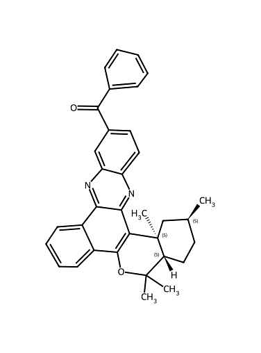 C[C@H]1CC[C@@H]2C(C)(C)Oc3c(c4nc5ccc(C(=O)c6ccccc6)cc5nc4c4ccccc34)[C@@]2(C)C1